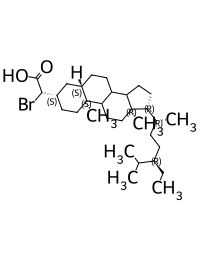 CC[C@H](CC[C@@H](C)[C@H]1CCC2C3CC[C@H]4C[C@@H](C(Br)C(=O)O)CC[C@]4(C)C3CC[C@@]21C)C(C)C